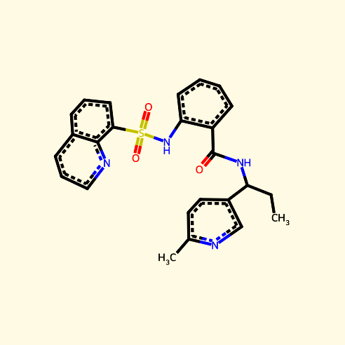 CCC(NC(=O)c1ccccc1NS(=O)(=O)c1cccc2cccnc12)c1ccc(C)nc1